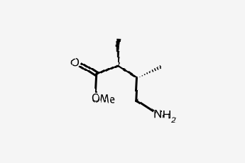 COC(=O)[C@@H](C)[C@H](C)CN